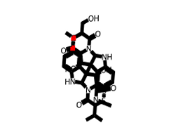 CC(C)C12SSC3(C(=O)N1C)C(O)C1(C45c6ccccc6NC4N4C(=O)C6(CO)SSC4(C(=O)N6C)C5O)c4ccccc4NC1N3C2=O